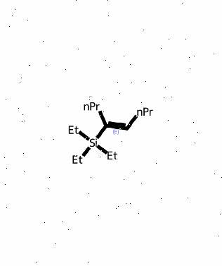 CCC/C=C(\CCC)[Si](CC)(CC)CC